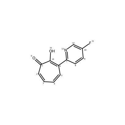 O=c1ccccc(-c2ccc(F)cn2)c1O